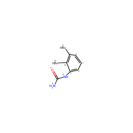 CCCCc1cccc(NC(N)=O)c1CCCC